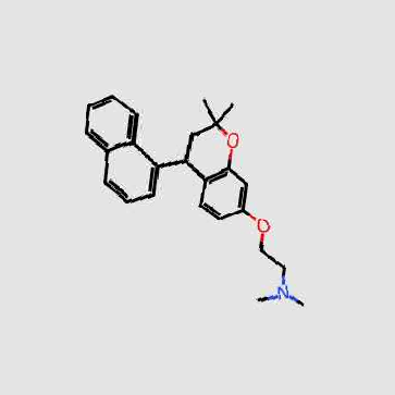 CN(C)CCOc1ccc2c(c1)OC(C)(C)CC2c1cccc2ccccc12